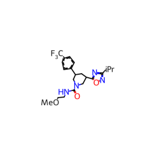 COCCNC(=O)N1CC(c2ccc(C(F)(F)F)cc2)CC(c2nc(C(C)C)no2)C1